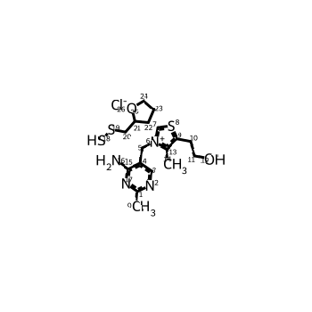 Cc1ncc(C[n+]2csc(CCO)c2C)c(N)n1.SSCC1CCCO1.[Cl-]